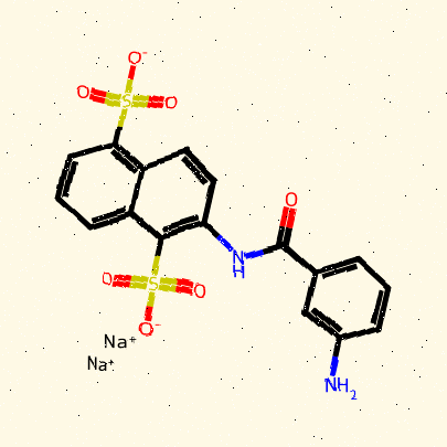 Nc1cccc(C(=O)Nc2ccc3c(S(=O)(=O)[O-])cccc3c2S(=O)(=O)[O-])c1.[Na+].[Na+]